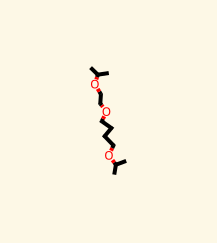 CC(C)OCCCCOCCOC(C)C